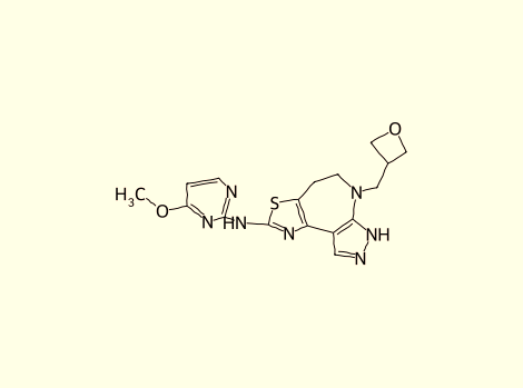 COc1ccnc(Nc2nc3c(s2)CCN(CC2COC2)c2[nH]ncc2-3)n1